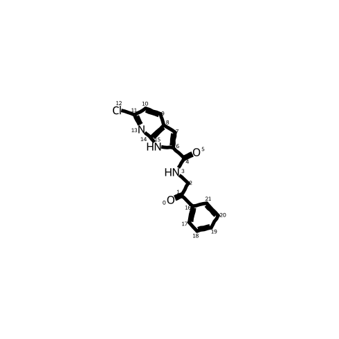 O=C(CNC(=O)c1cc2ccc(Cl)nc2[nH]1)c1ccccc1